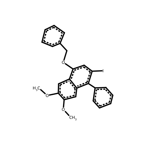 COc1cc2c(OCc3ccccc3)cc(I)c(-c3ccccc3)c2cc1OC